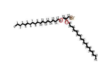 CCCCCCCCCCCCCCCCCCOCC(CBr)OCCCCCCCCCCCCCCCCCC